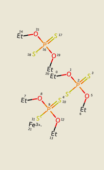 CCOP(=S)([S-])OCC.CCOP(=S)([S-])OCC.CCOP(=S)([S-])OCC.[Fe+3]